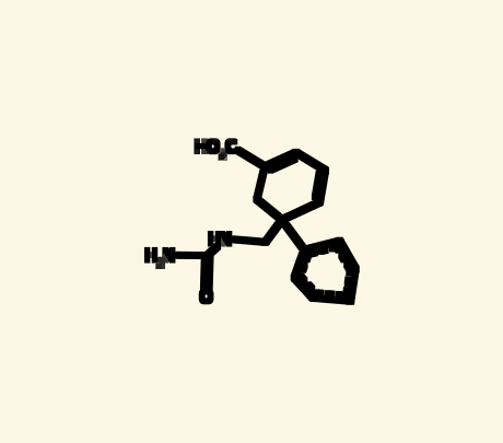 NC(=O)NCC1(c2ccccc2)C=CC=C(C(=O)O)C1